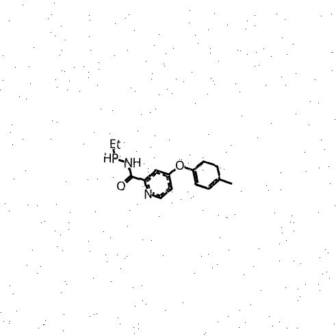 CCPNC(=O)c1cc(OC2=CC=C(C)CC2)ccn1